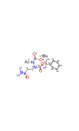 CC(=O)N(C(=O)OC(C)(C)C)N(CCC(=O)N(C)C)C(=O)OC(C)(C)c1ccccc1